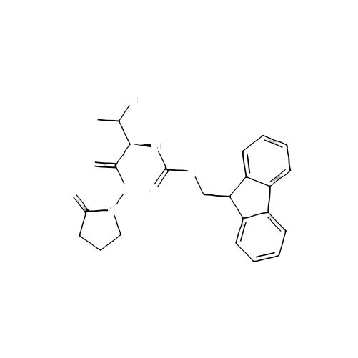 CC(C)[C@@H](NC(=O)OCC1c2ccccc2-c2ccccc21)C(=O)ON1CCCC1=O